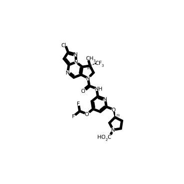 C[C@@]1(C(F)(F)F)CN(C(=O)Nc2cc(OC(F)F)cc(O[C@H]3CCN(C(=O)O)C3)n2)c2cnc3cc(Cl)nn3c21